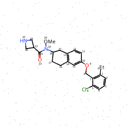 CCc1cccc(Cl)c1COc1ccc2c(c1)CCC(N(OC)C(=O)C1CNC1)C2